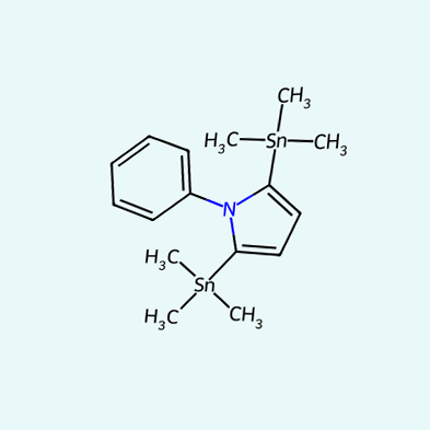 [CH3][Sn]([CH3])([CH3])[c]1cc[c]([Sn]([CH3])([CH3])[CH3])n1-c1ccccc1